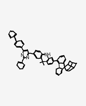 CC1(C)c2ccc(-c3cccc4c3C3CC=CC=C3C43C4CC5CC6CC3C56C4)cc2Nc2ccc(-c3cc(-c4ccc(-c5ccccc5)cc4)nc(C4=CCCC=C4)n3)cc21